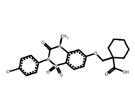 CN1C(=O)N(c2ccc(Cl)cc2)S(=O)(=O)c2ccc(OCC3(C(=O)O)CCCCC3)cc21